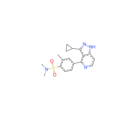 Cc1cc(-c2nccc3[nH]nc(C4CC4)c23)ccc1S(=O)(=O)N(C)C